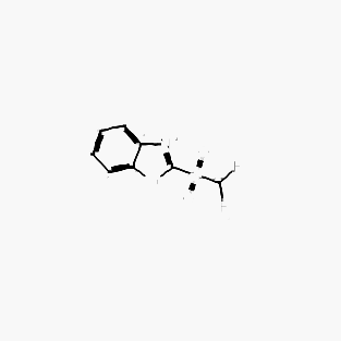 O=S(=O)(c1nc2ccccc2o1)C(F)F